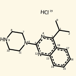 CC(C)c1nc(N2CCNCC2)nc2ccccc12.Cl